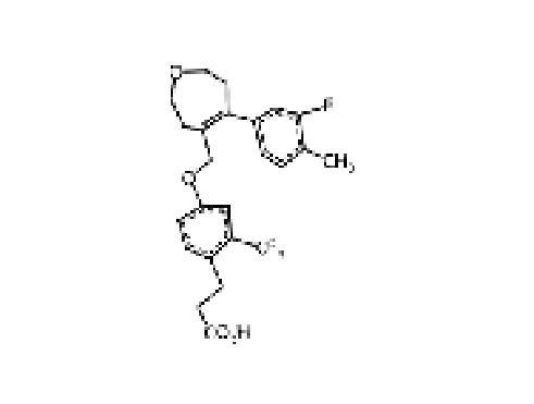 Cc1ccc(C2=C(COc3ccc(CCC(=O)O)c(C(F)(F)F)c3)CCOCC2)cc1F